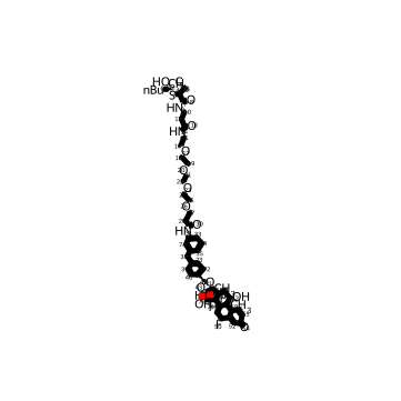 CCCCC(C)SC(CC(=O)O)C(=O)NCCC(=O)NCCOCCOCCOCCOCCC(=O)Nc1cccc(Cc2ccc([C@@H]3O[C@@H]4CC5[C@@H]6C[C@H](F)C7=CC(=O)C=C[C@]7(C)[C@@]6(F)[C@@H](O)C[C@]5(C)[C@]4(C(=O)CO)O3)cc2)c1